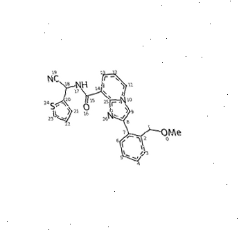 COCc1ccccc1-c1cn2cccc(C(=O)NC(C#N)c3cccs3)c2n1